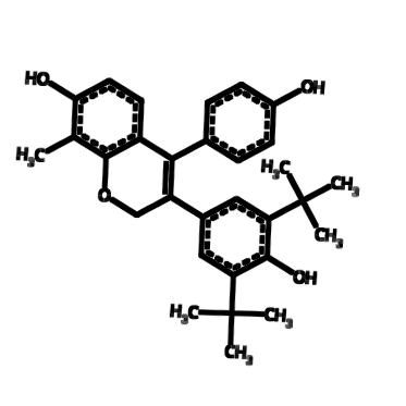 Cc1c(O)ccc2c1OCC(c1cc(C(C)(C)C)c(O)c(C(C)(C)C)c1)=C2c1ccc(O)cc1